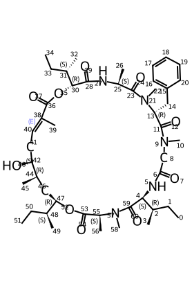 CC[C@@H](C)[C@@H]1NC(=O)CN(C)C(=O)[C@@H](Cc2ccccc2)N(C)C(=O)[C@H](C)NC(=O)[C@@H]([C@@H](C)CC)OC(=O)/C(C)=C/C[C@H](O)[C@H](C)C[C@H]([C@@H](C)CC)OC(=O)[C@H](C)N(C)C1=O